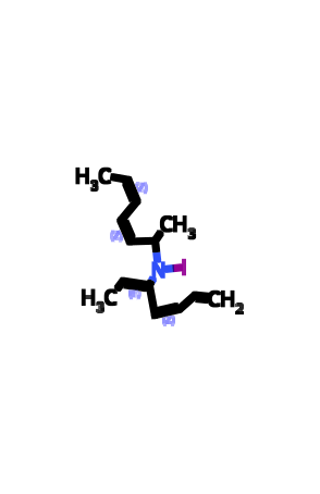 C=C/C=C\C(=C/C)N(I)C(C)/C=C\C=C/C